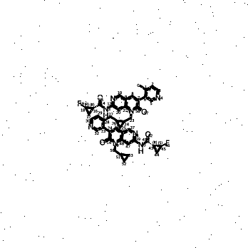 Cc1ccncc1-c1cc2cnc(NC(=O)[C@H]3C[C@H]3F)cc2n(CC2CC2Cc2ccncc2-c2cc3cnc(NC(=O)[C@H]4C[C@@H]4F)cc3n(CC3CC3)c2=O)c1=O